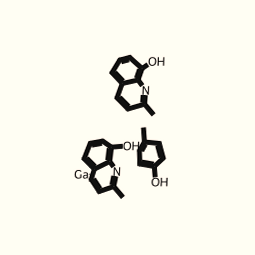 Cc1ccc(O)cc1.Cc1ccc2cccc(O)c2n1.Cc1ccc2cccc(O)c2n1.[Ga]